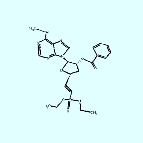 CCOP(=O)(/C=C/[C@@H]1C[C@@H](OC(=O)c2ccccc2)[C@H](n2cnc3c(NC)ncnc32)O1)OCC